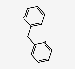 b1ccccc1Cc1ccccn1